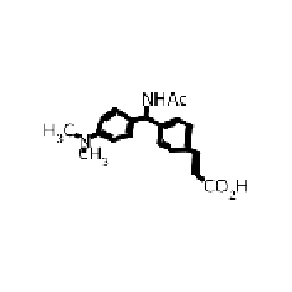 CC(=O)NC(c1ccc(/C=C/C(=O)O)cc1)c1ccc(N(C)C)cc1